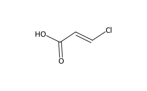 O=C(O)C=CCl